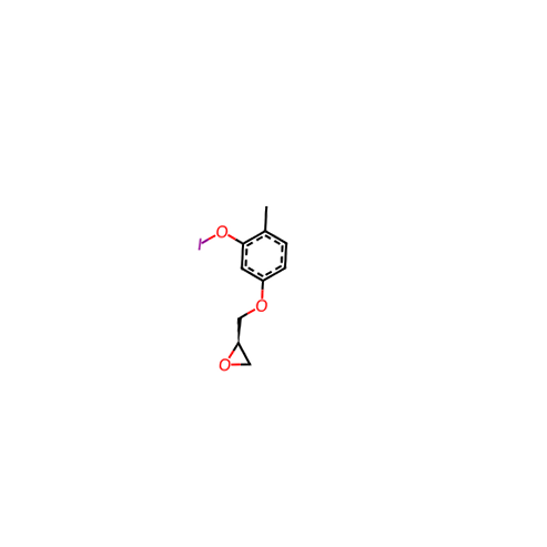 Cc1ccc(OC[C@H]2CO2)cc1OI